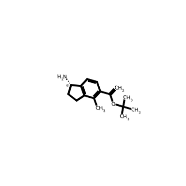 C=C(OC(C)(C)C)c1ccc2c(c1C)CC[C@@H]2N